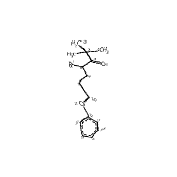 CC(C)(C)C(=O)C(Br)CCCOc1ccccc1